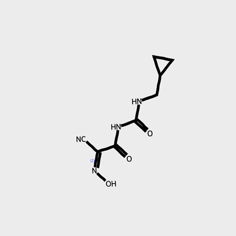 N#C/C(=N/O)C(=O)NC(=O)NCC1CC1